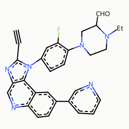 C#Cc1nc2cnc3ccc(-c4cccnc4)cc3c2n1-c1ccc(N2CCN(CC)C(C=O)C2)c(F)c1